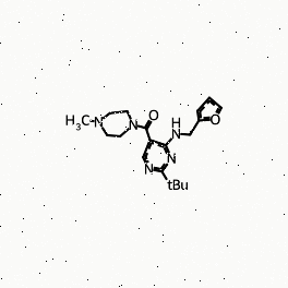 CN1CCN(C(=O)c2cnc(C(C)(C)C)nc2NCc2ccco2)CC1